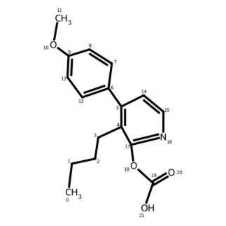 CCCCc1c(-c2ccc(OC)cc2)ccnc1OC(=O)O